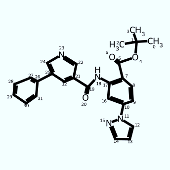 CC(C)(C)OC(=O)c1ccc(-n2cccn2)cc1NC(=O)c1cncc(-c2ccccc2)c1